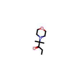 CCC(=O)C(C)(C)N1CCOCC1